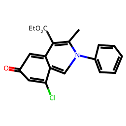 CCOC(=O)c1c2cc(=O)cc(Cl)c-2cn(-c2ccccc2)c1C